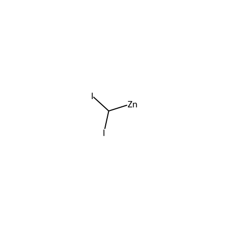 [Zn][CH](I)I